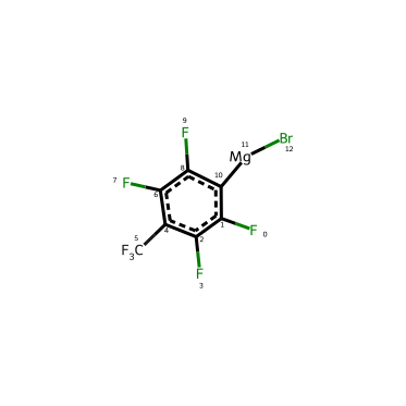 Fc1c(F)c(C(F)(F)F)c(F)c(F)[c]1[Mg][Br]